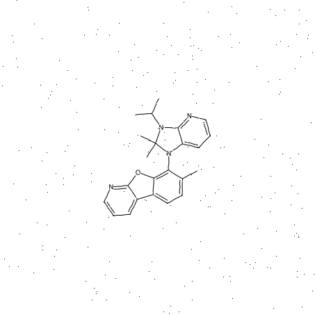 Cc1ccc2c(oc3ncccc32)c1N1c2cccnc2N(C(C)C)C1(C)C